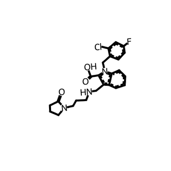 O=C(O)c1c(CNCCCN2CCCC2=O)c2ccccc2n1Cc1ccc(F)cc1Cl